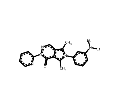 CCN(CC)c1cccc(-n2c(C)c3cnn(-c4ccccn4)c(=O)c3c2C)c1